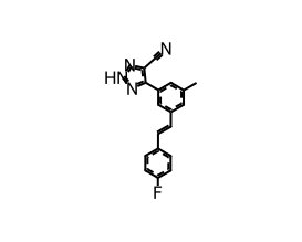 Cc1cc(C=Cc2ccc(F)cc2)cc(-c2n[nH]nc2C#N)c1